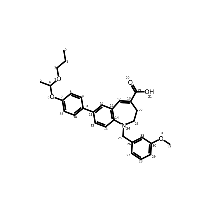 CCCOC(C)Oc1ccc(-c2ccc3c(c2)C=C(C(=O)O)CCN3Cc2cccc(OC)c2)cc1